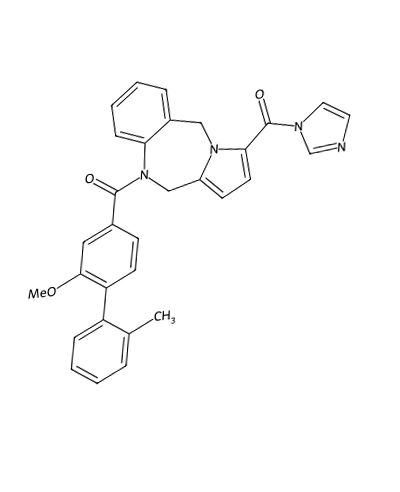 COc1cc(C(=O)N2Cc3ccc(C(=O)n4ccnc4)n3Cc3ccccc32)ccc1-c1ccccc1C